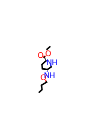 CCCCON[C@@H]1CC[C@@H](C(=O)OCC)NC1